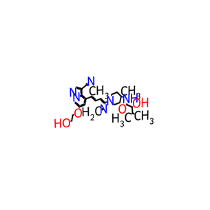 C=N/C(=C\C=C(/C)c1cc(OCCO)cn2ncc(C#N)c12)N1CCC(C)(NC(=O)[C@H](O)C(C)C)CC1